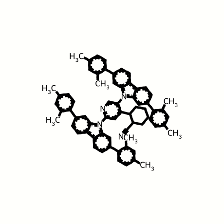 Cc1ccc(-c2ccc3c4ccc(-c5ccc(C)cc5C)cc4n(-c4cc(C5CCCCC5C#N)c(-n5c6cc(-c7ccc(C)cc7C)ccc6c6ccc(-c7ccc(C)cc7C)cc65)cn4)c3c2)c(C)c1